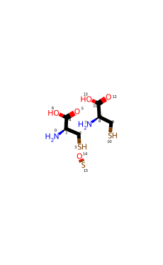 N[C@H](CS)C(=O)O.N[C@H](CS)C(=O)O.O=S